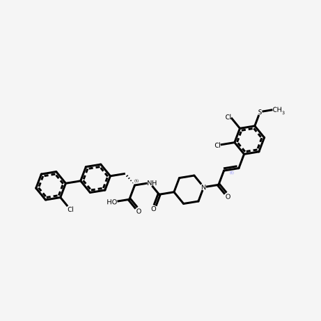 CSc1ccc(/C=C/C(=O)N2CCC(C(=O)N[C@@H](Cc3ccc(-c4ccccc4Cl)cc3)C(=O)O)CC2)c(Cl)c1Cl